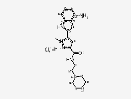 Cl.Cl.Cn1nc(C(=O)NCCN2CCOCC2)cc1-c1cc2c(N)cccc2[nH]1